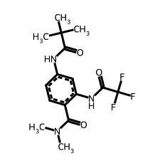 CN(C)C(=O)c1ccc(NC(=O)C(C)(C)C)cc1NC(=O)C(F)(F)F